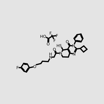 O=C(CNCCCCOc1ccc(F)cc1)N1CCc2nc(C3CCC3)n(-c3ccccc3)c(=O)c2C1S.O=C(O)C(F)(F)F